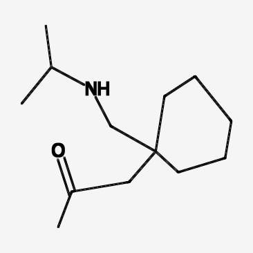 CC(=O)CC1(CNC(C)C)CCCCC1